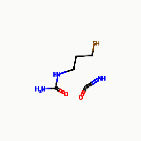 N=C=O.NC(=O)NCCCS